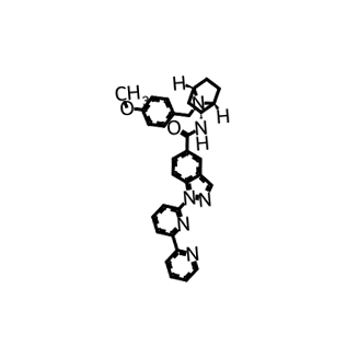 COc1ccc(CN2[C@H]3CC[C@@H]2[C@H](NC(=O)c2ccc4c(cnn4-c4cccc(-c5ccccn5)n4)c2)C3)cc1